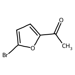 CC(=O)c1ccc(Br)o1